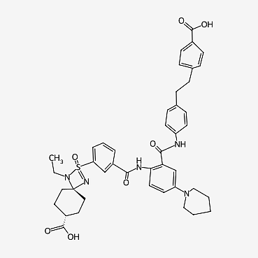 CCN1[C@]2(CC[C@H](C(=O)O)CC2)N=S1(=O)c1cccc(C(=O)Nc2ccc(N3CCCCC3)cc2C(=O)Nc2ccc(CCc3ccc(C(=O)O)cc3)cc2)c1